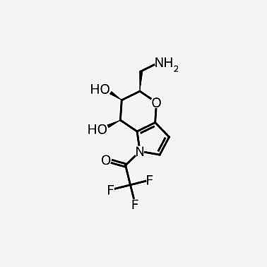 NC[C@H]1Oc2ccn(C(=O)C(F)(F)F)c2[C@@H](O)[C@H]1O